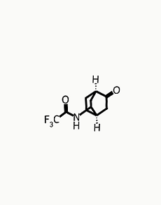 O=C1C[C@H]2CC[C@@H]1CC2NC(=O)C(F)(F)F